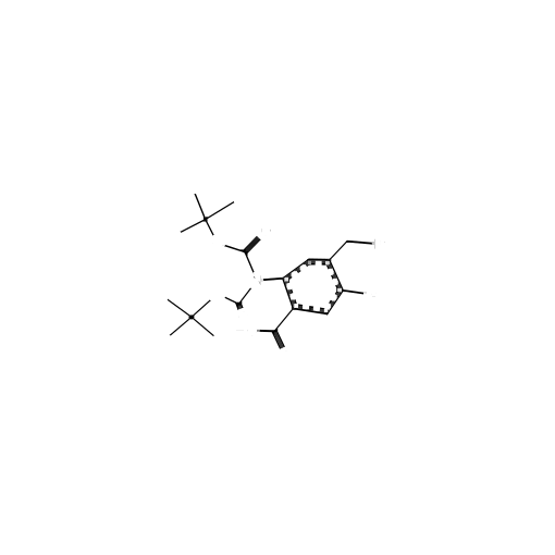 CC(C)(C)OC(=O)N(C(=O)OC(C)(C)C)c1cc(CBr)c(Br)cc1C(=O)O